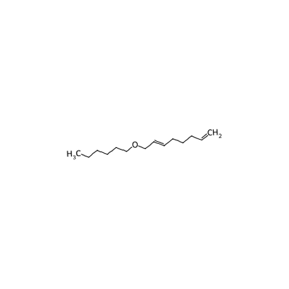 C=CCCCC=CCOCCCCCC